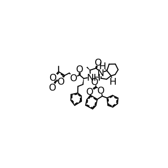 Cc1oc(=O)oc1COC(=O)[C@H](CCc1ccccc1)N[C@@H](C)C(=O)N1[C@@H](OC(=O)OC(c2ccccc2)c2ccccc2)C[C@H]2CCCC[C@@H]21